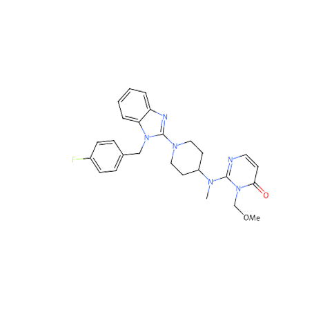 COCn1c(N(C)C2CCN(c3nc4ccccc4n3Cc3ccc(F)cc3)CC2)nccc1=O